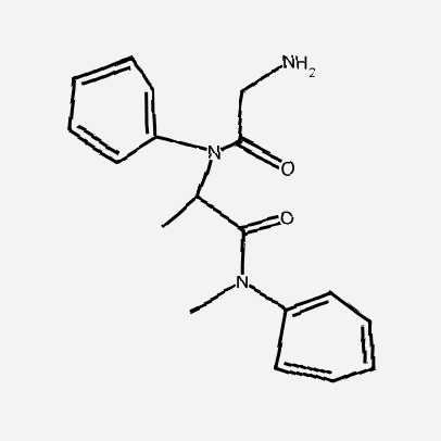 CC(C(=O)N(C)c1ccccc1)N(C(=O)CN)c1ccccc1